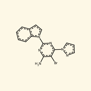 Nc1nc(-n2ccc3ccccc32)nc(-n2cccn2)c1Br